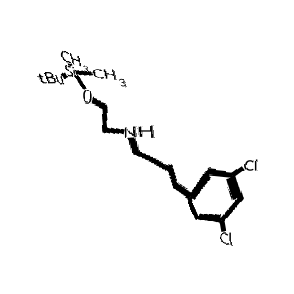 CC(C)(C)[Si](C)(C)OCCNCCCc1cc(Cl)cc(Cl)c1